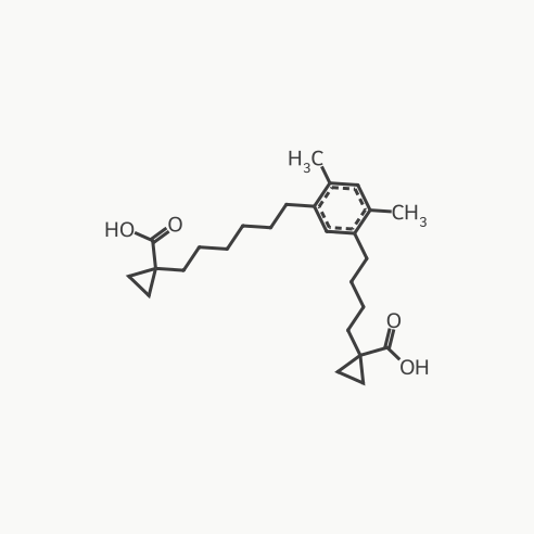 Cc1cc(C)c(CCCCC2(C(=O)O)CC2)cc1CCCCCCC1(C(=O)O)CC1